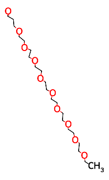 CCOCCOCCOCCOCCOCCOCCOCCOCCOCCC=O